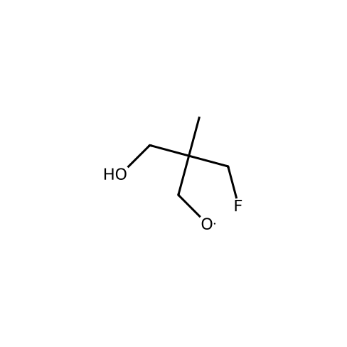 CC(C[O])(CO)CF